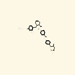 COc1ccc(C2=NN(c3ccc(C(=O)Nc4ccc(C5=NNC(=O)CC5C)cc4)cc3)C(=O)C3CC=CCC23)cc1OC